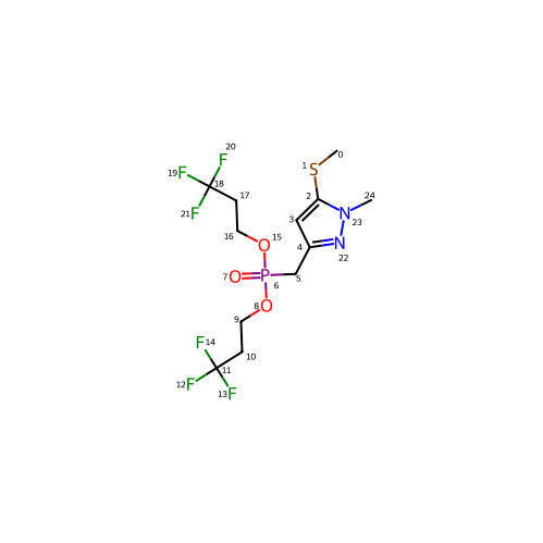 CSc1cc(CP(=O)(OCCC(F)(F)F)OCCC(F)(F)F)nn1C